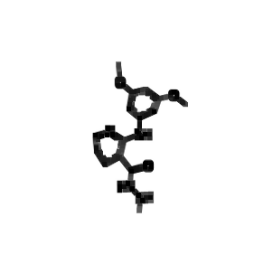 CNNC(=O)c1cccnc1Nc1cc(OC)cc(OC)c1